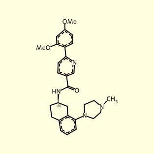 COc1ccc(-c2ccc(C(=O)N[C@@H]3CCc4cccc(N5CCN(C)CC5)c4C3)cn2)c(OC)c1